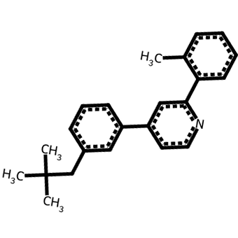 Cc1ccccc1-c1cc(-c2cccc(CC(C)(C)C)c2)ccn1